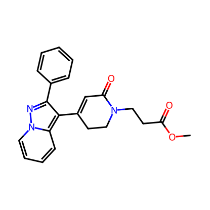 COC(=O)CCN1CCC(c2c(-c3ccccc3)nn3ccccc23)=CC1=O